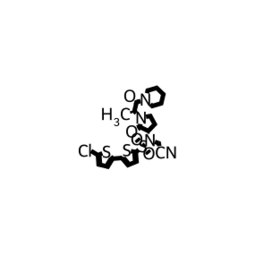 C[C@@H](C(=O)N1CCCCC1)N1CC[C@H](N(CC#N)S(=O)(=O)c2ccc(-c3ccc(Cl)s3)s2)C1=O